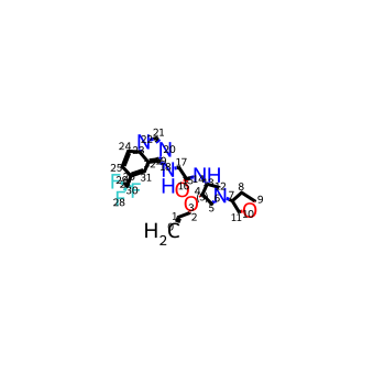 C=CCO[C@H]1CN(C2CCOC2)CC1NC(=O)CNc1ncnc2ccc(C(F)(F)F)cc12